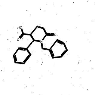 O=C(O)C1CCC(=O)N(Cc2ccccc2)C1c1ccccc1